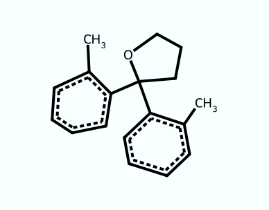 Cc1ccccc1C1(c2ccccc2C)CCCO1